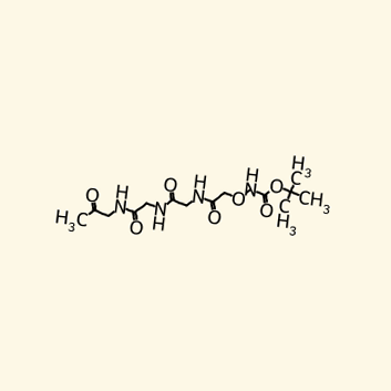 CC(=O)CNC(=O)CNC(=O)CNC(=O)CONC(=O)OC(C)(C)C